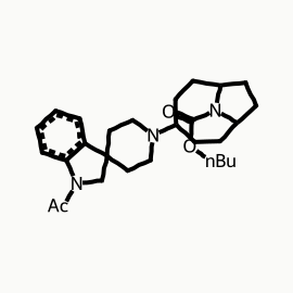 CCCCOC(=O)N1C2CCC(N3CCC4(CC3)CN(C(C)=O)c3ccccc34)CCC1CC2